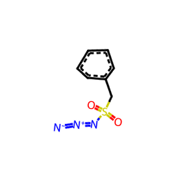 [N-]=[N+]=NS(=O)(=O)Cc1ccccc1